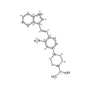 CC(O)N1CCN(c2ccc(C=Cc3n[nH]c4ccccc34)c(N)c2)CC1